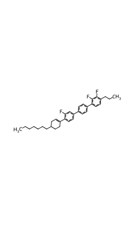 CCCCCCCC1CC=C(c2ccc(-c3ccc(-c4ccc(CCC)c(F)c4F)cc3)cc2F)CC1